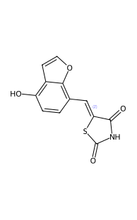 O=C1NC(=O)/C(=C/c2ccc(O)c3ccoc23)S1